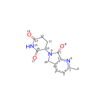 Cc1ccc2c(n1)C(=O)N(C1CCC(=O)NC1=O)C2